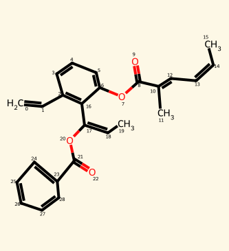 C=Cc1cccc(OC(=O)/C(C)=C/C=C\C)c1/C(=C\C)OC(=O)c1ccccc1